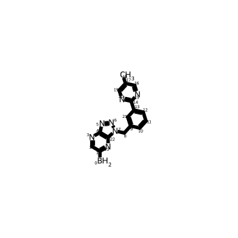 Bc1cnc2nnn(Cc3cccc(-c4ncc(C)cn4)c3)c2n1